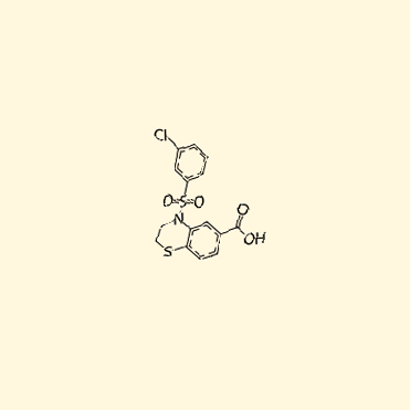 O=C(O)c1ccc2c(c1)N(S(=O)(=O)c1cccc(Cl)c1)CCS2